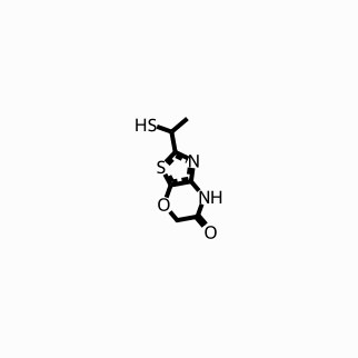 CC(S)c1nc2c(s1)OCC(=O)N2